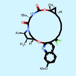 COc1ccc2cc3c(nc2c1)O[C@H]1CN(C(=O)[C@H](C(C)(C)C)NC(=O)O[C@]2(C)C[C@H]2CCCCC3(F)F)[C@H](C(C)=O)[C@@H]1C